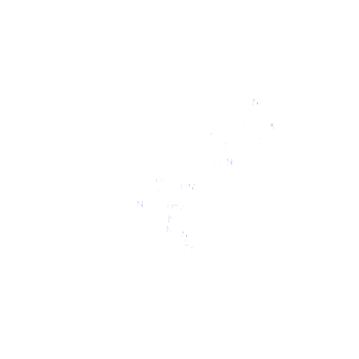 CCn1cc(NC(=O)c2coc(-c3cccnc3)n2)c(C(N)=O)n1